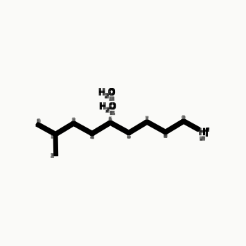 CC(C)CCCCCC[CH2][Hf].O.O